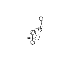 OC(c1ccccc1)(c1noc(C[N+]23CCC(CC2)[C@@H](CSc2ccccc2)C3)n1)C1CCCCC1